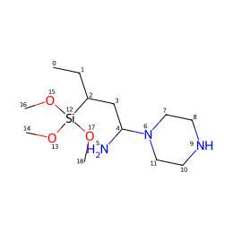 CCC(CC(N)N1CCNCC1)[Si](OC)(OC)OC